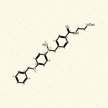 CCCCCCCCCCCCNC(=O)c1ccc(CN(O)c2ccc(OCc3ccccc3)cc2)cc1